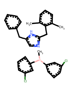 CB(c1cccc(Cl)c1)c1cccc(Cl)c1.Cc1cccc(C)c1Cc1ncc(Cc2ccccc2)[nH]1